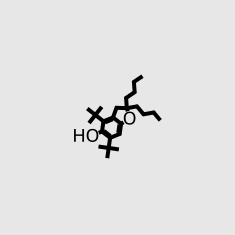 CCCCC1(CCCC)Cc2c(cc(C(C)(C)C)c(O)c2C(C)(C)C)O1